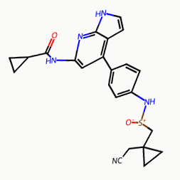 N#CCC1(C[S+]([O-])Nc2ccc(-c3cc(NC(=O)C4CC4)nc4[nH]ccc34)cc2)CC1